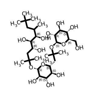 CC(CC(C)(C)C)[C@@H](O)[C@H](O)[C@H](O)CC(C)(C)O[C@@H]1O[C@H](CC(C)(C)O[C@@H]2O[C@H](CO)[C@@H](O)[C@H](O)[C@H]2O)[C@@H](O)[C@H](O)[C@H]1O